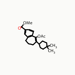 COC(=O)c1ccc2c(c1)CCCC(C1CCC(C)(C)CC1)=C2OC(C)=O